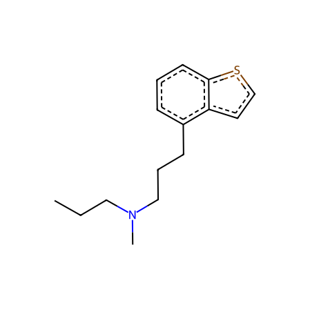 CCCN(C)CCCc1cccc2sccc12